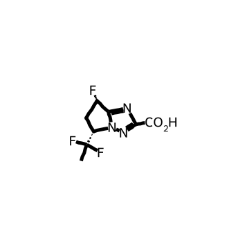 CC(F)(F)[C@@H]1C[C@H](F)c2nc(C(=O)O)nn21